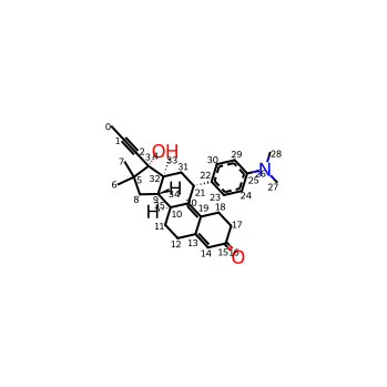 CC#C[C@]1(O)C(C)(C)C[C@H]2[C@@H]3CCC4=CC(=O)CCC4=C3[C@@H](c3ccc(N(C)C)cc3)C[C@@]21C